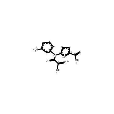 Nc1cccc(N(C(=O)C(=O)O)c2ccc(C(=O)O)s2)c1